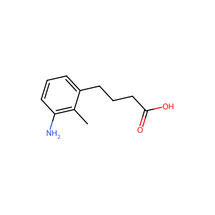 Cc1c(N)cccc1CCCC(=O)O